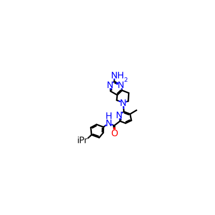 Cc1ccc(C(=O)Nc2ccc(C(C)C)cc2)nc1N1CCc2nc(N)ncc2C1